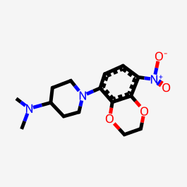 CN(C)C1CCN(c2ccc([N+](=O)[O-])c3c2OCCO3)CC1